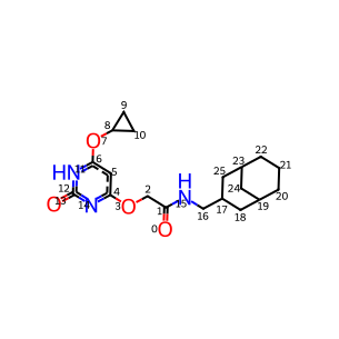 O=C(COc1cc(OC2CC2)[nH]c(=O)n1)NCC1CC2CCCC(C2)C1